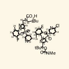 CNC(=O)OC(c1cc(S(=O)(=O)c2ccc(Cl)nc2)n(-c2cc(F)ccc2C)n1)C(C)(C)C.Cc1ccc(F)cc1-n1nc(CN(CC(C)(C)C)C(=O)O)cc1S(=O)(=O)c1cccnc1